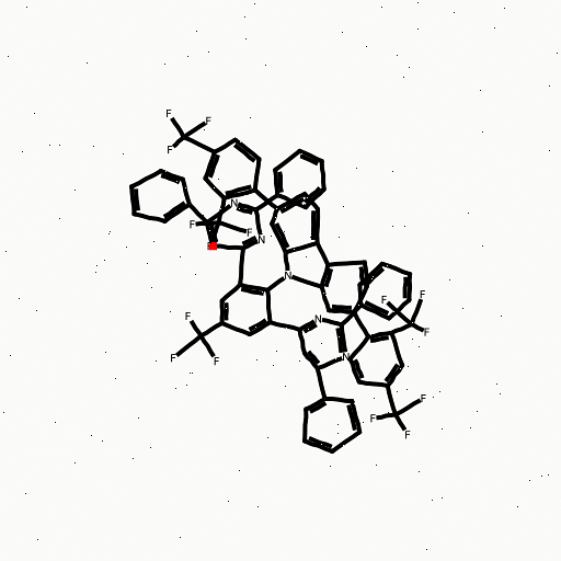 FC(F)(F)c1cc(-c2cc(-c3ccccc3)nc(-c3ccccc3)n2)c(-n2c3cc(-c4ccc(C(F)(F)F)cc4C(F)(F)F)ccc3c3ccc(-c4ccc(C(F)(F)F)cc4C(F)(F)F)cc32)c(-c2cc(-c3ccccc3)nc(-c3ccccc3)n2)c1